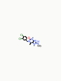 C=C1c2c(nc(NCCC)n2C)N(C)C(=O)N1Cc1ccc(Cl)c(Cl)c1